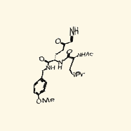 COc1ccc(CNC(=O)[C@H](CCC(=O)C=N)NC(=O)[C@H](CC(C)C)NC(C)=O)cc1